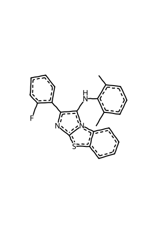 Cc1cccc(C)c1Nc1c(-c2ccccc2F)nc2sc3ccccc3n12